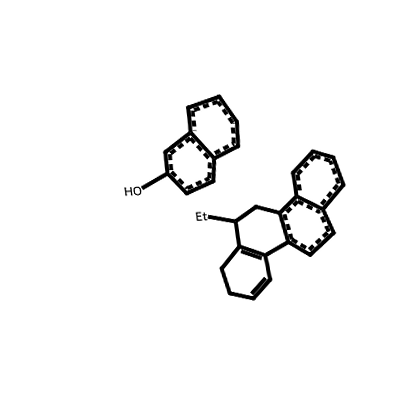 CCC1Cc2c(ccc3ccccc23)C2=C1CCC=C2.Oc1ccc2ccccc2c1